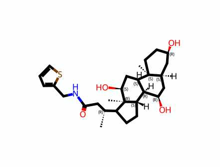 C[C@H](CC(=O)NCc1cccs1)C1CC[C@H]2[C@@H]3[C@H](O)C[C@@H]4C[C@H](O)CC[C@]4(C)[C@H]3C[C@H](O)[C@]12C